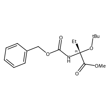 CC[C@@](NC(=O)OCc1ccccc1)(OC(C)(C)C)C(=O)OC